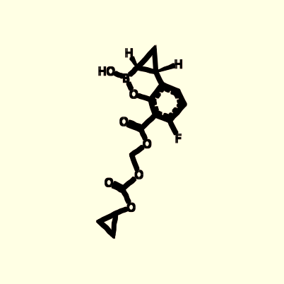 O=C(OCOC(=O)c1c(F)ccc2c1OB(O)[C@@H]1C[C@H]21)OC1CC1